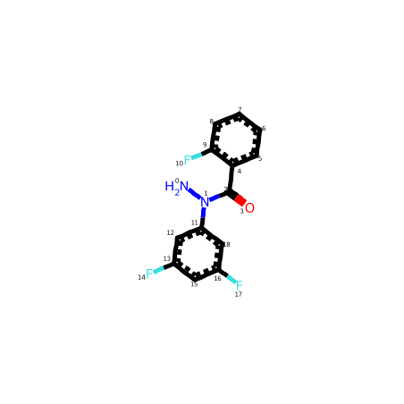 NN(C(=O)c1ccccc1F)c1cc(F)cc(F)c1